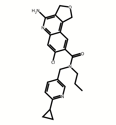 CCCN(Cc1ccc(C2CC2)nc1)C(=O)c1cc2c3c(c(N)nc2cc1Cl)COC3